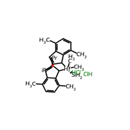 Cc1ccc(C)c2c1C=C(C(C)C)[CH]2[Hf]([CH3])([CH3])(=[SiH2])[CH]1C(C(C)C)=Cc2c(C)ccc(C)c21.Cl.Cl